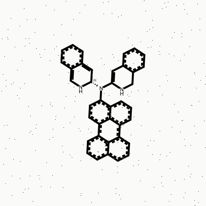 C1=C(N(c2ccc3c4cccc5cccc(c6cccc2c63)c54)[C@H]2C=c3ccccc3=CN2)NCc2ccccc21